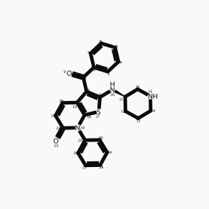 O=C(c1ccccc1)c1c(N[C@@H]2CCCNC2)sc2c1ccc(=O)n2-c1ccccc1